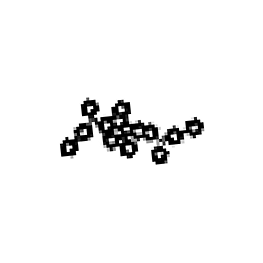 c1ccc(-c2ccc(N(c3ccccc3)c3ccc4cc5c(cc4c3)C(c3ccccc3)(c3ccccc3)c3c-5c4ccccc4c4cc(N(c5ccccc5)c5ccc(-c6ccccc6)cc5)ccc34)cc2)cc1